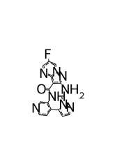 Cn1nccc1-c1ccncc1NC(=O)c1c(N)nn2cc(F)cnc12